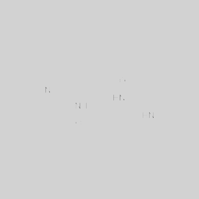 CCCCCCCCCCCC(=O)NCCCN(CCC)CCC.CCCCCCCCCCCC(=O)NCCCNCCC